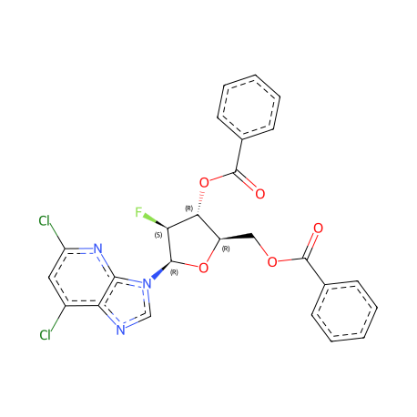 O=C(OC[C@H]1O[C@@H](n2cnc3c(Cl)cc(Cl)nc32)[C@@H](F)[C@@H]1OC(=O)c1ccccc1)c1ccccc1